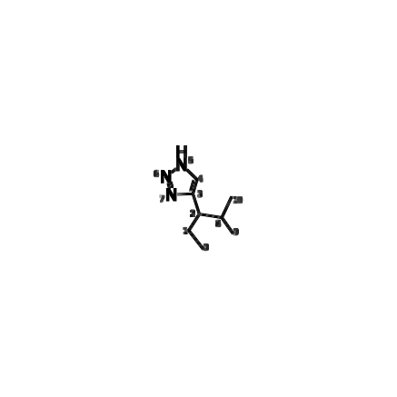 CCC(c1c[nH]nn1)C(C)C